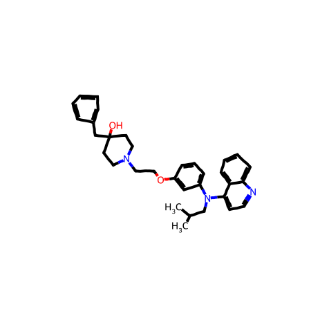 CC(C)CN(c1cccc(OCCN2CCC(O)(Cc3ccccc3)CC2)c1)c1ccnc2ccccc12